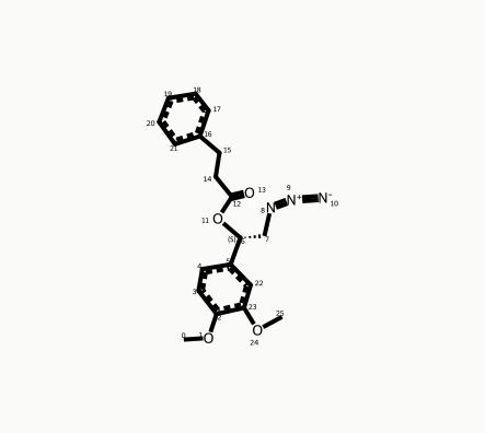 COc1ccc([C@@H](CN=[N+]=[N-])OC(=O)CCc2ccccc2)cc1OC